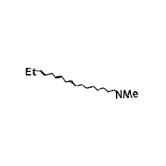 CCC=CCC=CCC=CCCCCCCCNC